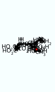 CC(CCC(=O)N[C@@H](CC(=O)N[C@@H](CC(=O)N[C@@H](CCCCn1cc(CCCC(O)Nc2nnc(S(N)(=O)=O)s2)nn1)C(=O)NCCOCCOCCNC(=S)Nc1ccc(CC2CN(CC(=O)O)CCN(CC(=O)O)CCN2CC(=O)O)cc1)C(=O)O)C(=O)O)(c1ccc(O)cc1)c1ccc(O)cc1